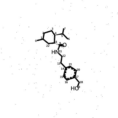 CC1CC[C@@H](C(C)C)[C@H](C(=O)NCCc2ccc(CO)cc2)C1